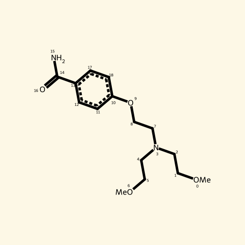 COCCN(CCOC)CCOc1ccc(C(N)=O)cc1